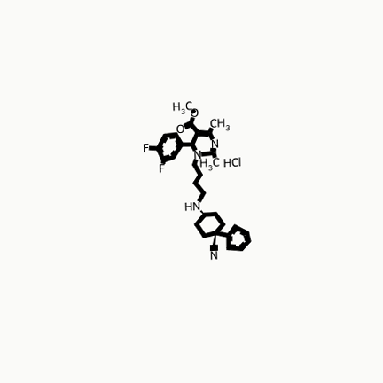 COC(=O)C1=C(C)N=C(C)N(CCCCN[C@H]2CC[C@@](C#N)(c3ccccc3)CC2)C1c1ccc(F)c(F)c1.Cl